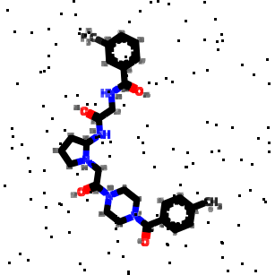 Cc1ccc(C(=O)N2CCN(C(=O)CN3CCCC3NC(=O)CNC(=O)c3cccc(C(F)(F)F)c3)CC2)cc1